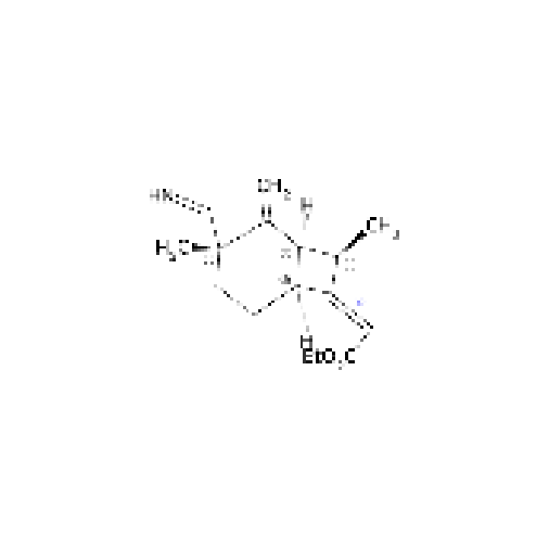 C=C1[C@@H]2[C@H](CC[C@]1(C)C=N)/C(=C\C(=O)OCC)[C@@H]2C